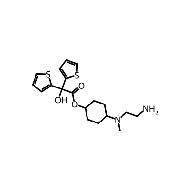 CN(CCN)C1CCC(OC(=O)C(O)(c2cccs2)c2cccs2)CC1